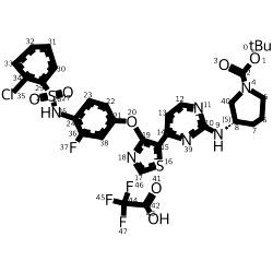 CC(C)(C)OC(=O)N1CCC[C@H](Nc2nccc(-c3scnc3Oc3ccc(NS(=O)(=O)c4ccccc4Cl)c(F)c3)n2)C1.O=C(O)C(F)(F)F